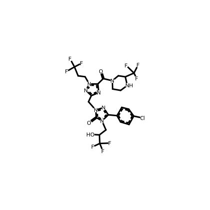 O=C(c1nc(Cn2nc(-c3ccc(Cl)cc3)n(CC(O)C(F)(F)F)c2=O)nn1CCC(F)(F)F)N1CCNC(C(F)(F)F)C1